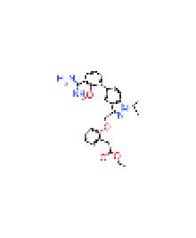 CCOC(=O)Cc1ccccc1OCc1nn(C(C)C)c2ccc(-c3cccc(C(=N)N)c3OC)cc12